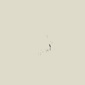 BC#N.[AlH3].[HH].[LiH].[NaH]